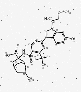 COC[C@@H](C)n1cc(-c2ncc(C(=O)NC3(C(=O)O)CC4CC(C)CC3C4)c(C(C)(F)F)n2)c2ccc(O)cc21